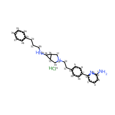 Cl.Nc1cccc(-c2ccc(CCN3CC4C(C3)C4NCCCc3ccccc3)cc2)n1